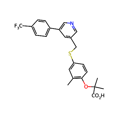 Cc1cc(SCc2cncc(-c3ccc(C(F)(F)F)cc3)c2)ccc1OC(C)(C)C(=O)O